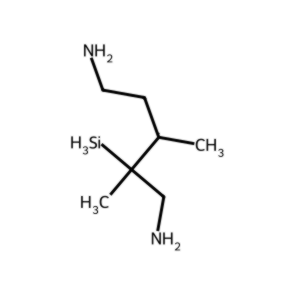 C[C](CCN)C(C)([SiH3])CN